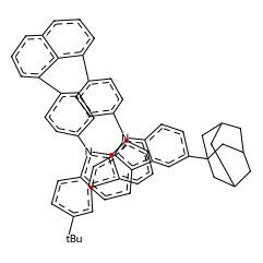 CC(C)(C)c1ccc2c(c1)c1ccccc1n2-c1ccc(-c2cccc3cccc(-c4ccc(-n5c6ccccc6c6cc(C78CC9CC(CC(C9)C7)C8)ccc65)cc4)c23)cc1